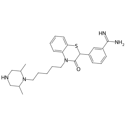 CC1CNCC(C)N1CCCCCN1C(=O)C(c2cccc(C(=N)N)c2)Sc2ccccc21